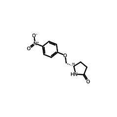 O=C1CC[C@@H](COc2ccc([N+](=O)[O-])cc2)N1